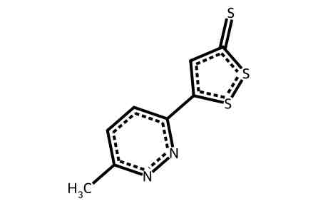 Cc1ccc(-c2cc(=S)ss2)nn1